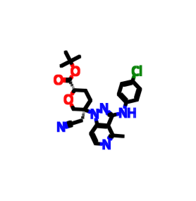 Cc1nccc2c1c(Nc1ccc(Cl)cc1)nn2[C@]1(CC#N)CC[C@@H](C(=O)OC(C)(C)C)OC1